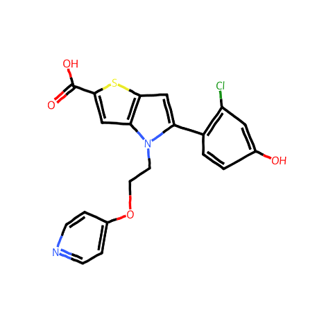 O=C(O)c1cc2c(cc(-c3ccc(O)cc3Cl)n2CCOc2ccncc2)s1